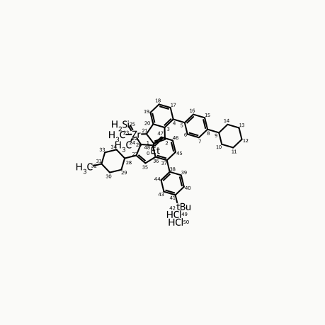 CCC1=Cc2c(-c3ccc(C4CCCCC4)cc3)cccc2[CH]1[Zr]([CH3])([CH3])(=[SiH2])[CH]1C(C2CCC(C)CC2)=Cc2c(-c3ccc(C(C)(C)C)cc3)cccc21.Cl.Cl